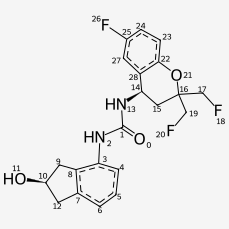 O=C(Nc1cccc2c1C[C@H](O)C2)N[C@@H]1CC(CF)(CF)Oc2ccc(F)cc21